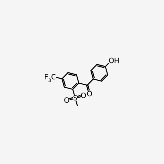 CS(=O)(=O)c1cc(C(F)(F)F)ccc1C(=O)c1ccc(O)cc1